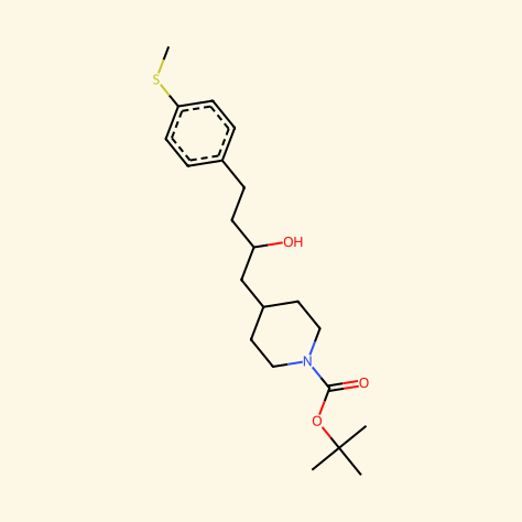 CSc1ccc(CCC(O)CC2CCN(C(=O)OC(C)(C)C)CC2)cc1